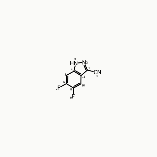 N#Cc1n[nH]c2cc(F)c(F)cc12